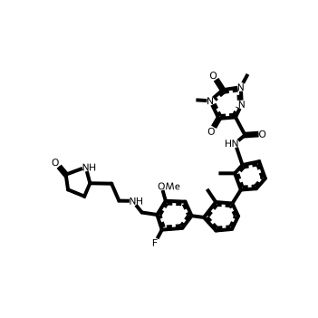 COc1cc(-c2cccc(-c3cccc(NC(=O)c4nn(C)c(=O)n(C)c4=O)c3C)c2C)cc(F)c1CNCCC1CCC(=O)N1